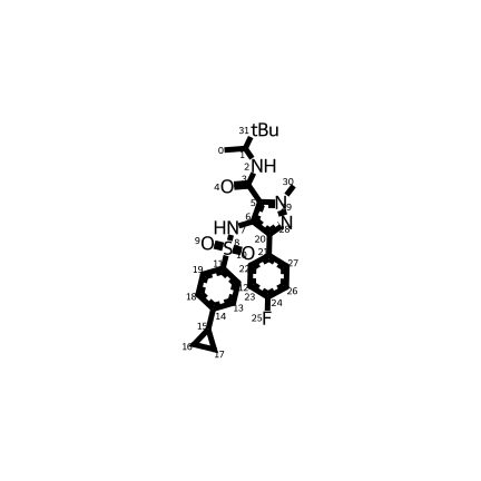 CC(NC(=O)c1c(NS(=O)(=O)c2ccc(C3CC3)cc2)c(-c2ccc(F)cc2)nn1C)C(C)(C)C